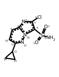 NS(=O)(=O)c1c(Cl)nc2ccc(C3CC3)nn12